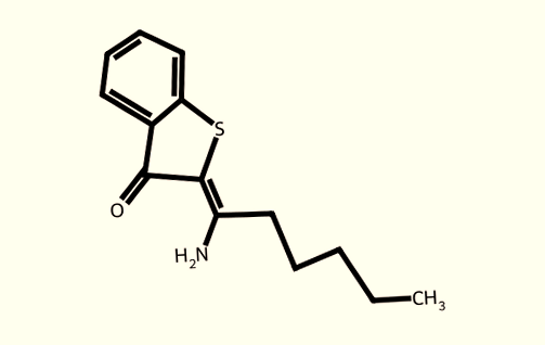 CCCCCC(N)=C1Sc2ccccc2C1=O